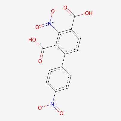 O=C(O)c1c[c]c(-c2ccc([N+](=O)[O-])cc2)c(C(=O)O)c1[N+](=O)[O-]